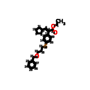 CCOC(=O)/C(=C/C1CCCC1)c1ccc(SCCCOCc2ccccc2)cc1